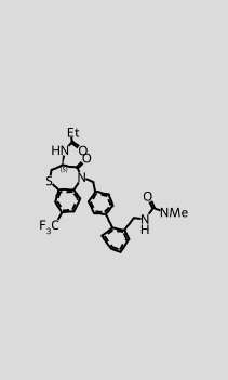 CCC(=O)N[C@@H]1CSc2cc(C(F)(F)F)ccc2N(Cc2ccc(-c3ccccc3CNC(=O)NC)cc2)C1=O